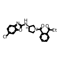 CCC(=O)c1ccccc1C(=O)N1CC[C@@H](Nc2nc3ccc(Cl)cc3o2)C1